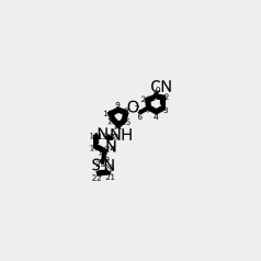 N#Cc1cccc(COc2cccc(Nc3nccc(-c4nccs4)n3)c2)c1